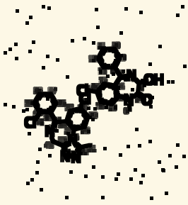 CN1C(=O)C(O)N=C(c2ccccc2)c2cc(Cl)ccc21.Cc1nnc2n1-c1ccc(Cl)cc1C(c1ccccc1Cl)=NC2